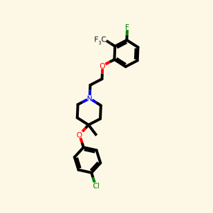 CC1(Oc2ccc(Cl)cc2)CCN(CCOc2cccc(F)c2C(F)(F)F)CC1